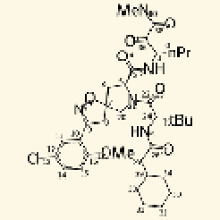 CCC[C@H](NC(=O)[C@@H]1C[C@]2(CC(c3cc(Cl)ccc3OC)=NO2)CN1C(=O)[C@@H](NC(=O)CC1CCCCC1)C(C)(C)C)C(=O)C(=O)NC